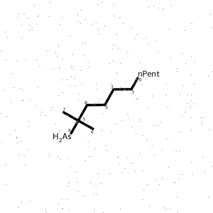 CCCCCCCCCC(C)(C)[AsH2]